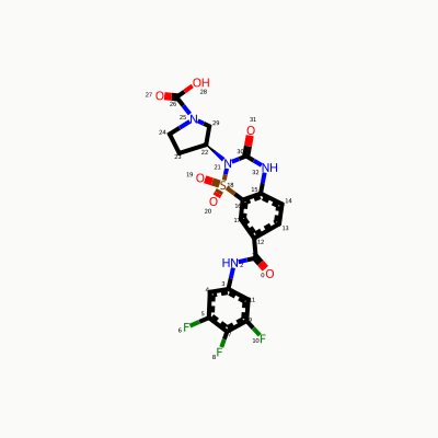 O=C(Nc1cc(F)c(F)c(F)c1)c1ccc2c(c1)S(=O)(=O)N([C@H]1CCN(C(=O)O)C1)C(=O)N2